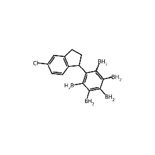 Bc1c(B)c(B)c(C2CCc3cc(Cl)ccc32)c(B)c1B